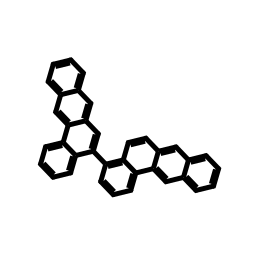 c1ccc2cc3c(ccc4c(-c5cc6cc7ccccc7cc6c6ccccc56)cccc43)cc2c1